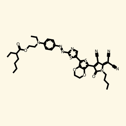 CCCCC(CC)C(=O)OCCN(CC)c1ccc(/N=N/c2ncc(-c3sc(C4=C(C#N)C(=C(C#N)C#N)N(CCCC)C4=O)c4c3OCCO4)s2)cc1